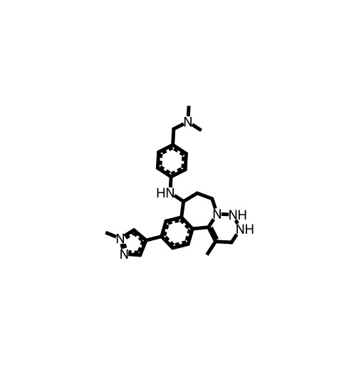 CC1=C2c3ccc(-c4cnn(C)c4)cc3C(Nc3ccc(CN(C)C)cc3)CCN2NNC1